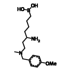 COc1ccc(CN(C)CCC(N)CCCCB(O)O)cc1